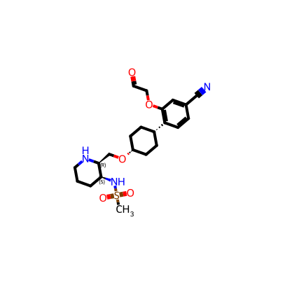 CS(=O)(=O)N[C@H]1CCCN[C@H]1CO[C@H]1CC[C@@H](c2ccc(C#N)cc2OCC=O)CC1